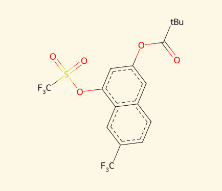 CC(C)(C)C(=O)Oc1cc(OS(=O)(=O)C(F)(F)F)c2cc(C(F)(F)F)ccc2c1